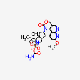 COc1ccc2c3c(cnc2n1)COC(=O)N3C1CC2CN(S(=O)(=O)OC(N)=O)C(C(C)(C)C)C2C1